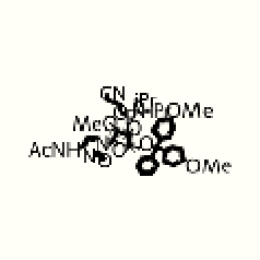 COc1ccc(C(OC[C@H]2O[C@@H](n3ccc(NC(C)=O)nc3=O)[C@@H](OC)[C@@H]2OP(OCCC#N)N(C(C)C)C(C)C)(c2ccccc2)c2ccc(OC)cc2)cc1